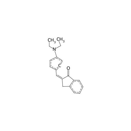 CCN(CC)c1ccc(C=C2Cc3ccccc3C2=O)cc1